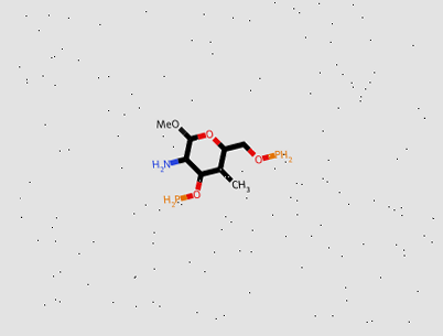 COC1OC(COP)C(C)C(OP)C1N